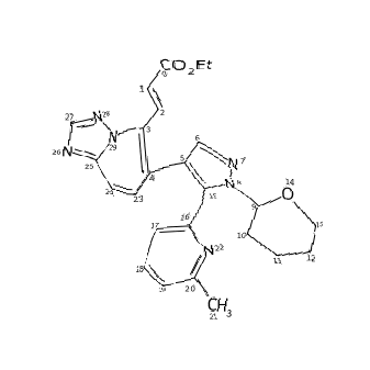 CCOC(=O)/C=C/c1c(-c2cnn(C3CCCCO3)c2-c2cccc(C)n2)ccc2ncnn12